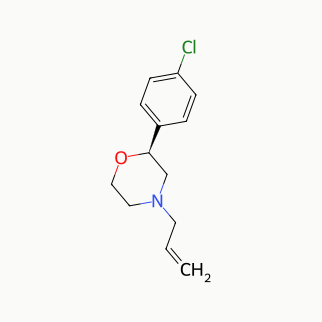 C=CCN1CCO[C@@H](c2ccc(Cl)cc2)C1